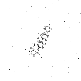 Cc1cc(-c2ccccc2)ncc1-c1ccc2c(c1)CCC1(CCCC1)C2